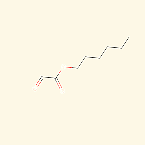 CCCCCCOC(=O)[C]=O